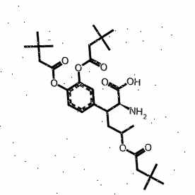 CC(CC(c1ccc(OC(=O)CC(C)(C)C)c(OC(=O)CC(C)(C)C)c1)[C@H](N)C(=O)O)OC(=O)CC(C)(C)C